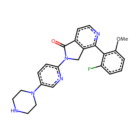 COc1cccc(F)c1-c1nccc2c1CN(c1ccc(N3CCNCC3)cn1)C2=O